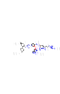 C=C(NSC1CC(C)=C(NC)[C@@](C)(CCCCN2CCN(C)CC2)C1)c1ccc(N2CCN(CC3=C(C4C=CC(CC)CC4)CC(C)(C)CC3)CC2)cc1Oc1cnc2[nH]ccc2c1